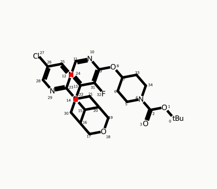 CC(C)(C)OC(=O)N1CCC(Oc2ncnc(OC3C4COCC3CN(c3ncc(Cl)cn3)C4)c2F)CC1